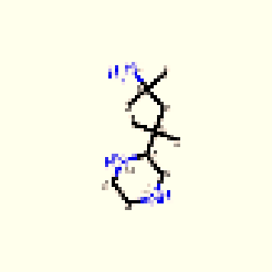 CC(C)(N)CC(C)(C)C1CNCCN1